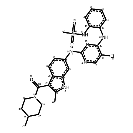 Cc1[nH]c2cc(Nc3ncc(Cl)c(Nc4ccccc4NS(C)(=O)=O)n3)ccc2c1C(=O)N1CCC(C)CC1